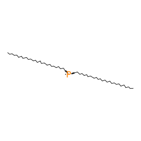 CCCCCCCCCCCCCCCCCCCCCCCCCC#C[P]C#CCCCCCCCCCCCCCCCCCCCCCCCCC